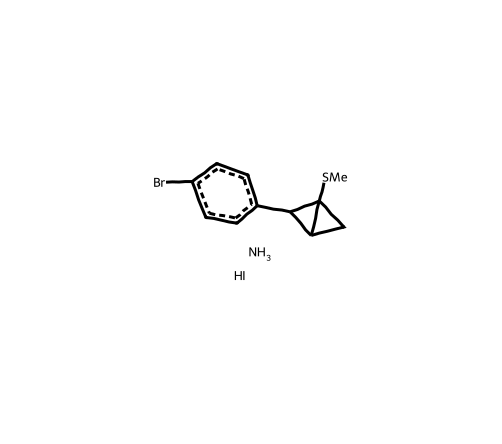 CSC12CC1C2c1ccc(Br)cc1.I.N